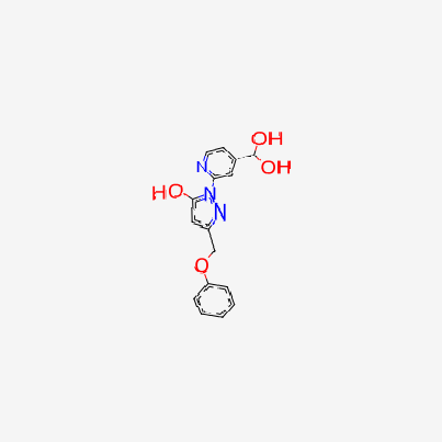 Oc1cc(COc2ccccc2)nn1-c1cc(C(O)O)ccn1